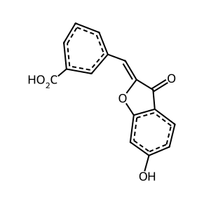 O=C(O)c1cccc(/C=C2\Oc3cc(O)ccc3C2=O)c1